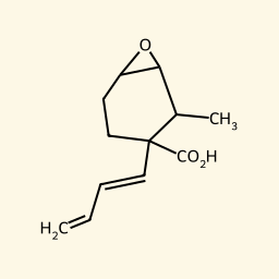 C=CC=CC1(C(=O)O)CCC2OC2C1C